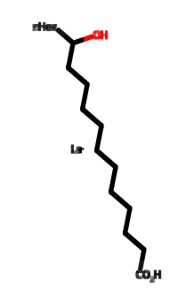 CCCCCCC(O)CCCCCCCCCCC(=O)O.[La]